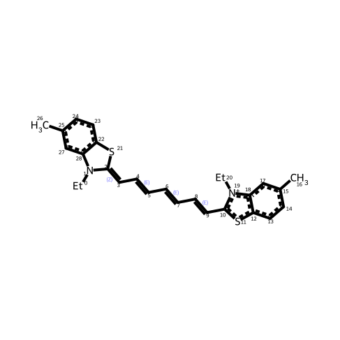 CCN1/C(=C/C=C/C=C/C=C/c2sc3ccc(C)cc3[n+]2CC)Sc2ccc(C)cc21